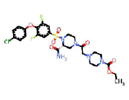 CCOC(=O)N1CCN(CC(=O)N2CCN(S(=O)(=O)c3cc(F)c(Oc4ccc(Cl)cc4)c(F)c3)[C@@H](C(N)=O)C2)CC1